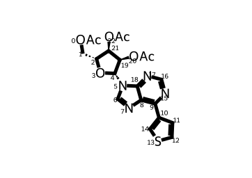 CC(=O)OC[C@H]1O[C@@H](n2cnc3c(-c4ccsc4)ncnc32)[C@H](OC(C)=O)[C@@H]1OC(C)=O